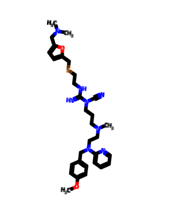 COc1ccc(CN(CCN(C)CCCN(C#N)C(=N)NCCSCc2ccc(CN(C)C)o2)c2ccccn2)cc1